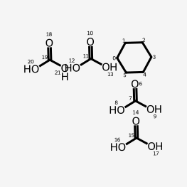 C1CCCCC1.O=C(O)O.O=C(O)O.O=C(O)O.O=C(O)O